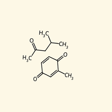 CC(=O)CC(C)C.CC1=CC(=O)C=CC1=O